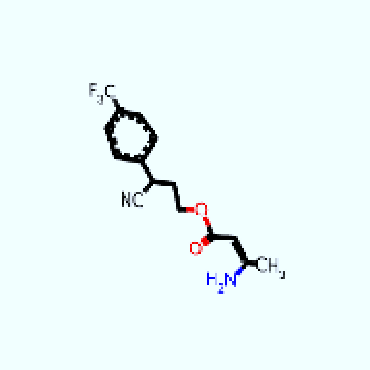 C/C(N)=C/C(=O)OCCC(C#N)c1ccc(C(F)(F)F)cc1